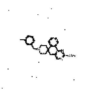 CNc1ncc2c(n1)-c1ccccc1C1(CCN(Cc3cccc(C)c3)CC1)C2